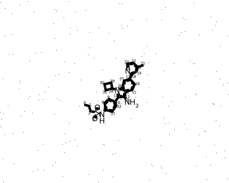 CCCS(=O)(=O)Nc1ccc(-c2c(N)c3ccc(-c4cc(C)ccn4)cc3n2C2CCC2)cc1